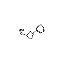 CC(C)(C)OC1CCN(c2ccccc2)C1